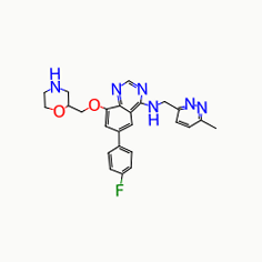 Cc1ccc(CNc2ncnc3c(OCC4CNCCO4)cc(-c4ccc(F)cc4)cc23)nn1